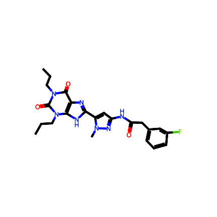 CCCn1c(=O)c2nc(-c3cc(NC(=O)Cc4cccc(F)c4)nn3C)[nH]c2n(CCC)c1=O